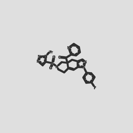 CC(C)n1nncc1S(=O)(=O)N1CCC2=Cc3c(cnn3-c3ccc(F)cc3)CC2(C(=O)c2ccccn2)C1